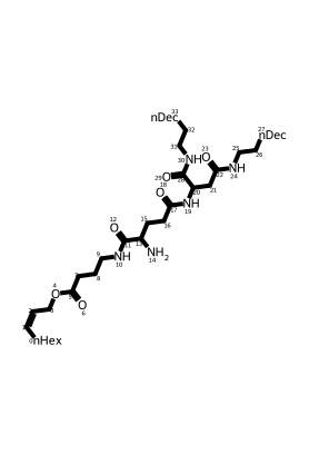 CCCCCC/C=C\COC(=O)CCCNC(=O)C(N)CCC(=O)NC(CC(=O)NCCCCCCCCCCCC)C(=O)NCCCCCCCCCCCC